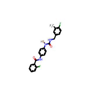 O=C(Nc1ccc(N(S)C(=O)NCc2ccc(F)c(C(F)(F)F)c2)cc1)c1ccccc1F